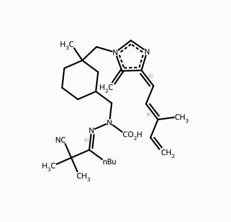 C=C/C(C)=C/C=c1/ncn(CC2(C)CCCC(CN(/N=C(\CCCC)C(C)(C)C#N)C(=O)O)C2)c1=C